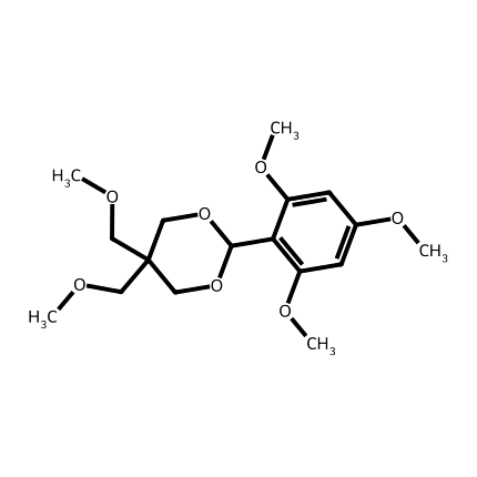 COCC1(COC)COC(c2c(OC)cc(OC)cc2OC)OC1